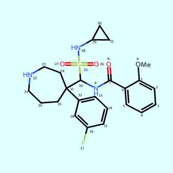 COc1ccccc1C(=O)NC(C1(c2cccc(F)c2)CCCNCC1)S(=O)(=O)NC1CC1